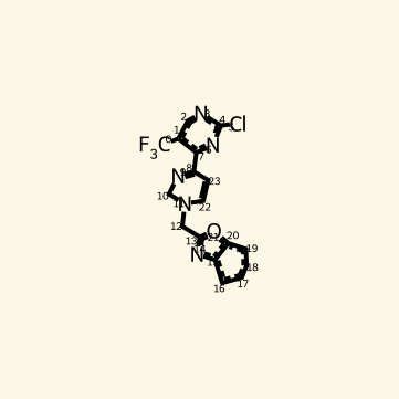 FC(F)(F)c1cnc(Cl)nc1C1=NCN(Cc2nc3ccccc3o2)C=C1